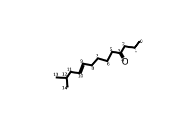 CCCC(=O)CCCCC=CCC(C)C